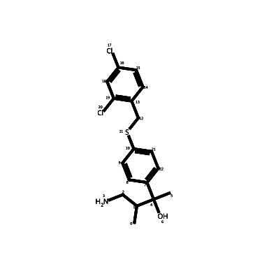 CC(CN)C(C)(O)c1ccc(SCc2ccc(Cl)cc2Cl)cc1